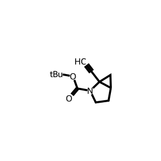 C#CC12CC1CCN2C(=O)OC(C)(C)C